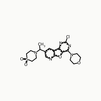 CC(c1cnc2oc3c(N4CCOCC4)nc(Cl)nc3c2c1)N1CCS(=O)(=O)CC1